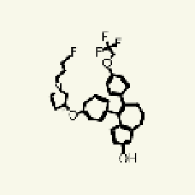 Oc1ccc2c(c1)CCCC(c1ccc(OCC(F)(F)F)cc1)=C2C1=CC=C(O[C@H]2CCN(CCCF)C2)CC=C1